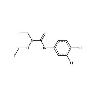 O=C(Nc1ccc(Cl)c(Cl)c1)N(CI)OCI